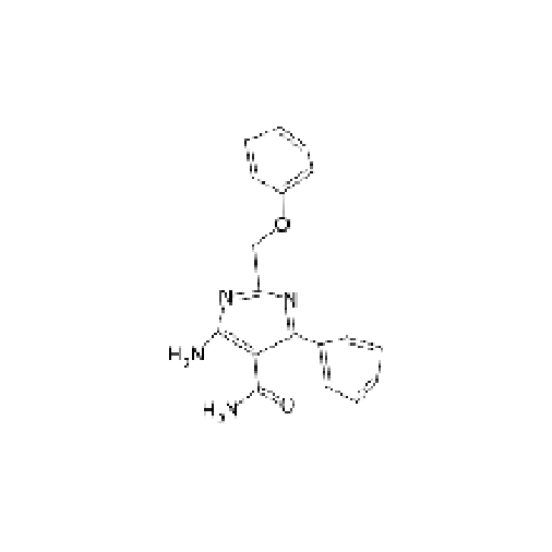 NC(=O)c1c(N)nc(COc2ccccc2)nc1-c1ccccc1